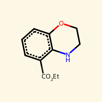 CCOC(=O)c1cccc2c1NCCO2